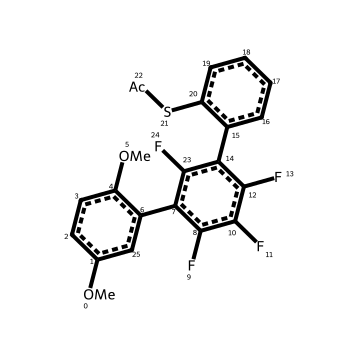 COc1ccc(OC)c(-c2c(F)c(F)c(F)c(-c3ccccc3SC(C)=O)c2F)c1